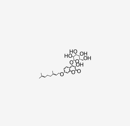 CC(C)=CCC/C(C)=C/COc1ccc2c(O[C@@H]3O[C@H](CO)[C@@H](O)[C@H](O)[C@@H]3O)c(O)c(=O)oc2c1